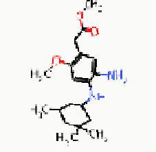 COC(=O)Cc1cc(N)c(NC2CC(C)CC(C)(C)C2)cc1OC